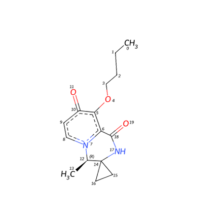 CCCCOc1c2n(ccc1=O)[C@H](C)C1(CC1)NC2=O